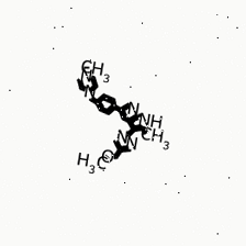 COCc1cnc(-c2c(C)[nH]c3ncc(-c4ccc(CN5CCN(C)CC5)cc4)cc23)nc1